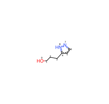 OCCCc1ccn[nH]1